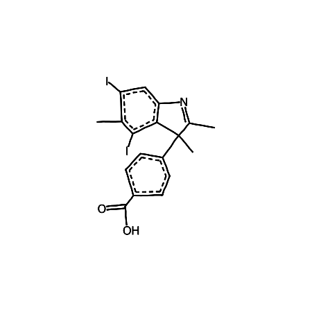 CC1=Nc2cc(I)c(C)c(I)c2C1(C)c1ccc(C(=O)O)cc1